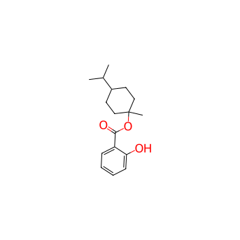 CC(C)C1CCC(C)(OC(=O)c2ccccc2O)CC1